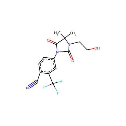 CC1(C)C(=O)N(c2ccc(C#N)c(C(F)(F)F)c2)C(=O)N1CCO